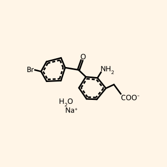 Nc1c(CC(=O)[O-])cccc1C(=O)c1ccc(Br)cc1.O.[Na+]